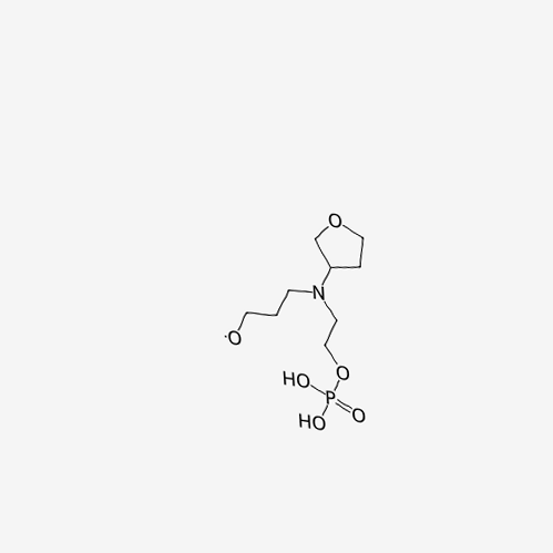 [O]CCCN(CCOP(=O)(O)O)C1CCOC1